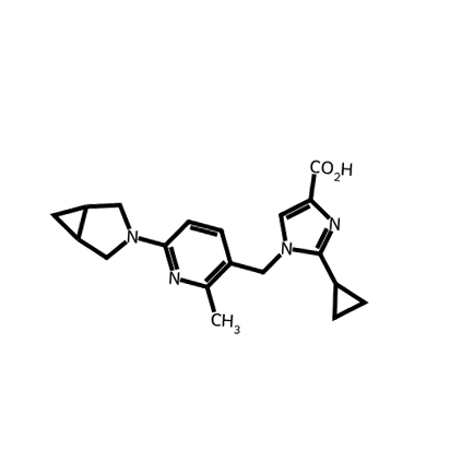 Cc1nc(N2CC3CC3C2)ccc1Cn1cc(C(=O)O)nc1C1CC1